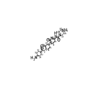 CCN(Cc1ccc(-n2ccc(NC(=O)N3CCNCC3)nc2=O)cc1Cl)[C@H]1CC[C@H](N)CC1